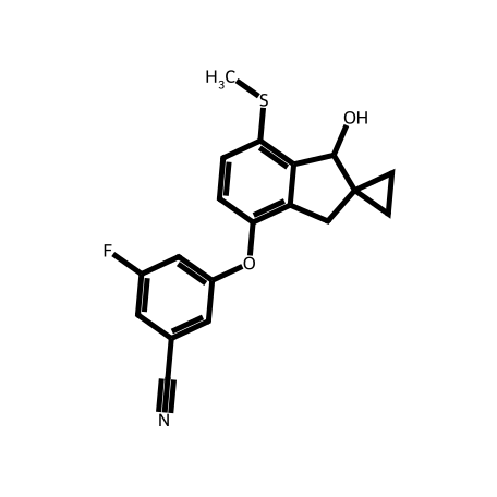 CSc1ccc(Oc2cc(F)cc(C#N)c2)c2c1C(O)C1(CC1)C2